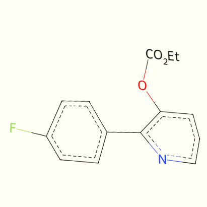 CCOC(=O)Oc1cccnc1-c1ccc(F)cc1